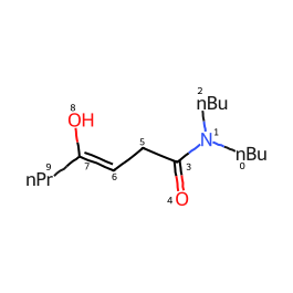 CCCCN(CCCC)C(=O)C/C=C(\O)CCC